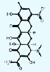 Cc1cc([N+](=O)[O-])c2c(c1O)C(=O)C1=C(O)[C@]3(O)C(=O)C(C(N)=O)=C(O)[C@@H](N(C)C)[C@@H]3C[C@@H]1C2